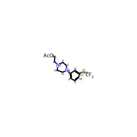 CC(=O)OCCN1CCN(c2cccc(SC(F)(F)F)c2)CC1